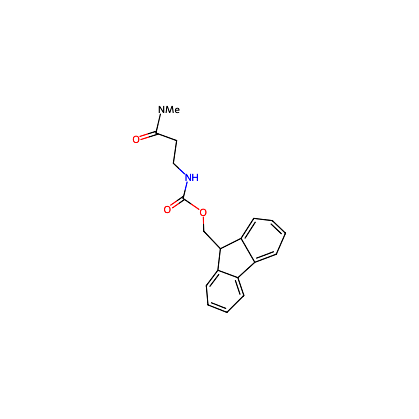 CNC(=O)CCNC(=O)OCC1c2ccccc2-c2ccccc21